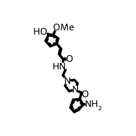 COc1cc(C=CC(=O)NCCN2CCN(C(=O)c3ccccc3N)CC2)ccc1O